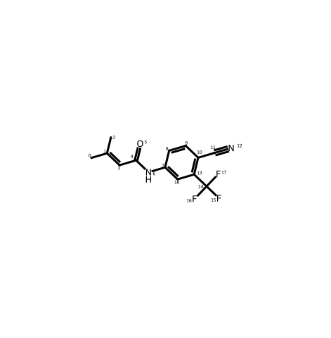 CC(C)=CC(=O)Nc1ccc(C#N)c(C(F)(F)F)c1